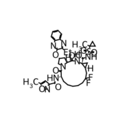 CCc1nc2ccccc2nc1O[C@@H]1C[C@H]2C(=O)N[C@]3(C(=O)NS(=O)(=O)C4(C)CC4)C[C@H]3CC(F)(F)CCCCC[C@H](NC(=O)c3cc(C)on3)C(=O)N2C1